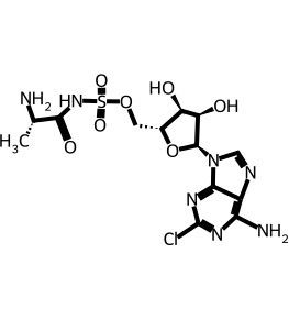 C[C@H](N)C(=O)NS(=O)(=O)OC[C@H]1O[C@H](n2cnc3c(N)nc(Cl)nc32)[C@H](O)[C@@H]1O